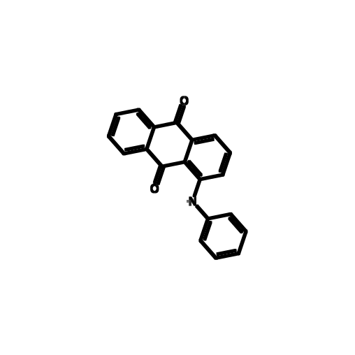 O=C1c2ccccc2C(=O)c2c([N]c3ccccc3)cccc21